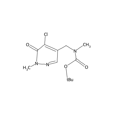 CN(Cc1cnn(C)c(=O)c1Cl)C(=O)OC(C)(C)C